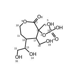 CC1(OP(=O)(O)O)C(=O)OCCC(C(O)CO)C1CO